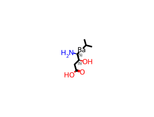 C[CH](C)[Ba][C@H](N)[C@@H](O)CC(=O)O